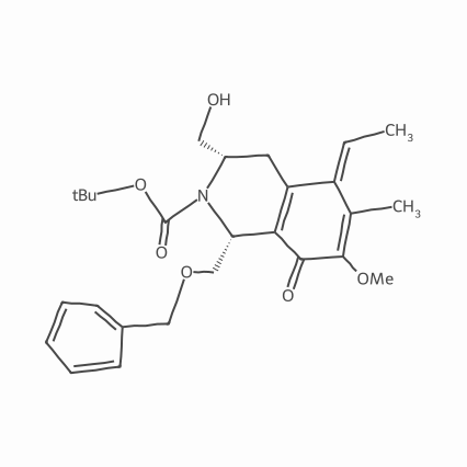 C/C=C1\C(C)=C(OC)C(=O)C2=C1C[C@@H](CO)N(C(=O)OC(C)(C)C)[C@H]2COCc1ccccc1